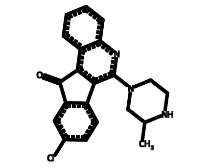 CC1CN(c2nc3ccccc3c3c2-c2ccc(Cl)cc2C3=O)CCN1